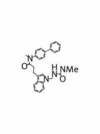 CNC(=O)NCn1cc(CCC(=O)N(C)c2ccc(-c3ccccc3)cc2)c2ccccc21